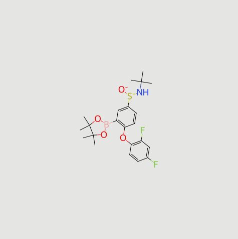 CC(C)(C)N[S+]([O-])c1ccc(Oc2ccc(F)cc2F)c(B2OC(C)(C)C(C)(C)O2)c1